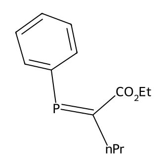 CCC/C(=P/c1ccccc1)C(=O)OCC